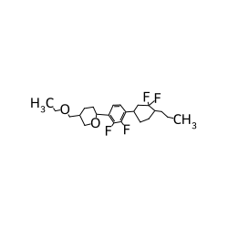 CCCC1CCC(c2ccc(C3CCC(COCC)CO3)c(F)c2F)CC1(F)F